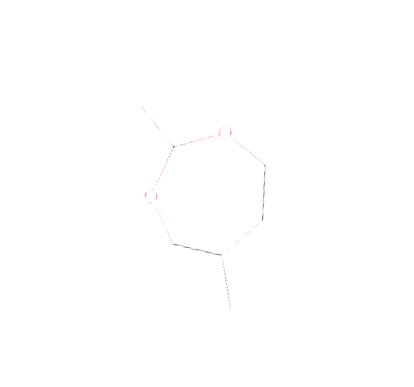 CC1CCOC(C)OC1